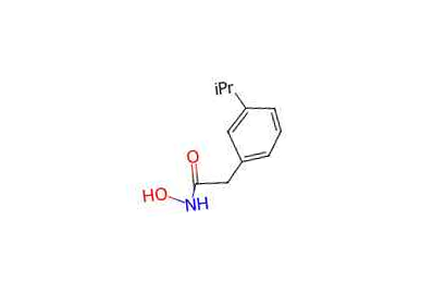 CC(C)c1cccc(CC(=O)NO)c1